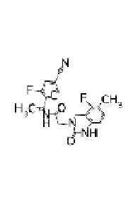 Cc1ccc2c(c1F)CN(CC(=O)N[C@@H](C)c1ccc(C#N)cc1F)C(=O)N2